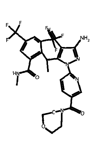 CNC(=O)c1cc(C(F)(F)F)cc(C(F)(F)F)c1C(C)c1c(C#N)c(N)nn1-c1ccc(C(=O)N2CCOCC2)cn1